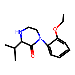 CCOc1ccccc1N1CCNC(C(C)C)C1=O